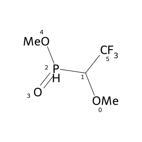 COC([PH](=O)OC)C(F)(F)F